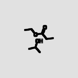 CC(C)O.CCOC(=O)CC